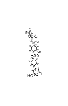 CC=C[C@@H](CC(=O)O)C1=CC=C(OC2CCc3cc(-c4cccc(OC(F)(F)F)c4)ccc32)CC1